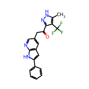 Cc1[nH]nc(C(=O)Cc2cnc3[nH]c(-c4ccccc4)cc3c2)c1C(F)(F)F